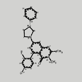 Cc1nc2cc(N3CC[C@H](c4ccccc4)C3)nc(-c3ccc(Cl)cc3F)c2c(=O)n1C